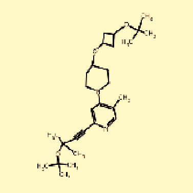 Cc1cnc(C#CC(C)(C)OC(C)(C)C)cc1N1CCC(OC2CC(OC(C)(C)C)C2)CC1